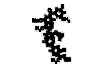 COc1cc(C(=O)N2C[C@H](N)C[C@@H](F)C2)cc2nc(-c3cc4ccc(-c5ccc(C(C)CO)c(Cl)c5)nc4n3CC3CC3)n(C)c12